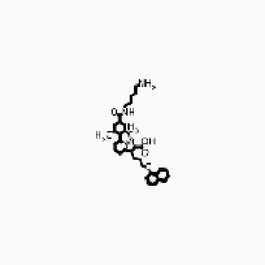 Cc1cc(C(=O)NCCCCCN)cc(C)c1-c1cccc2c(CCCOc3cccc4ccccc34)c(C(=O)O)nn12